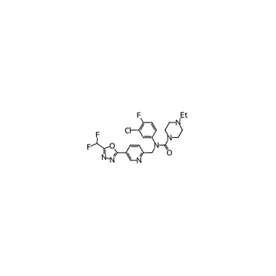 CCN1CCN(C(=O)N(Cc2ccc(-c3nnc(C(F)F)o3)cn2)c2ccc(F)c(Cl)c2)CC1